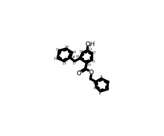 O=C(OCc1ccccc1)c1ccc(O)cc1Cc1ccccc1